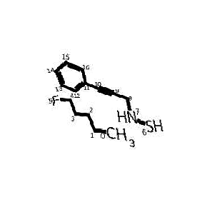 CCCCCF.SNCC#Cc1ccccc1